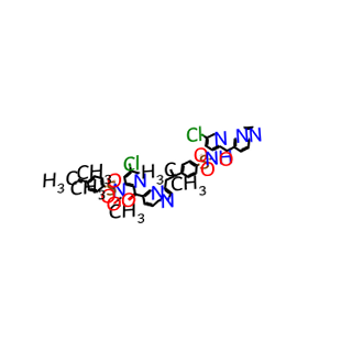 COCN(c1cc(Cl)cnc1C(=O)c1ccc2ncc(CC(C)(C)c3ccc(S(=O)(=O)Nc4cc(Cl)cnc4C(=O)c4ccc5nccn5c4)cc3)n2c1)S(=O)(=O)c1ccc(C(C)(C)C)cc1